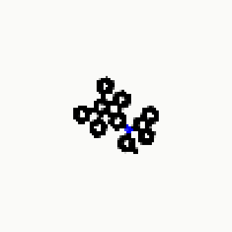 Cc1cccc(N(c2ccc3c(c2)c2ccccc2c2c(-c4ccccc4)cc(-c4ccccc4)c(-c4ccccc4)c32)c2cc3ccccc3c3ccccc23)c1